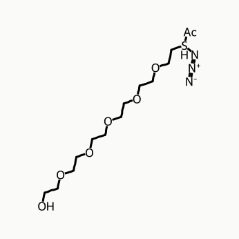 CC(=O)[SH](CCOCCOCCOCCOCCOCCO)N=[N+]=[N-]